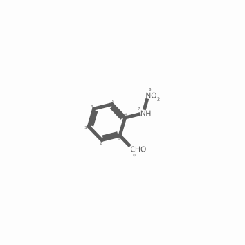 O=Cc1ccccc1N[N+](=O)[O-]